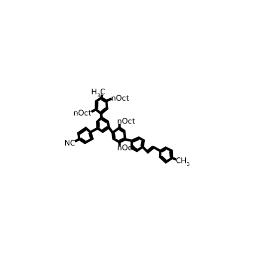 CCCCCCCCc1cc(-c2cc(-c3ccc(C#N)cc3)cc(-c3cc(CCCCCCCC)c(-c4ccc(/C=C/c5ccc(C)cc5)cc4)cc3CCCCCCCC)c2)c(CCCCCCCC)cc1C